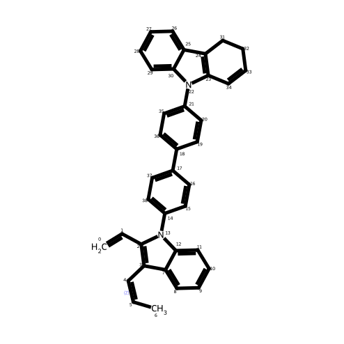 C=Cc1c(/C=C\C)c2ccccc2n1-c1ccc(-c2ccc(-n3c4c(c5ccccc53)CCC=C4)cc2)cc1